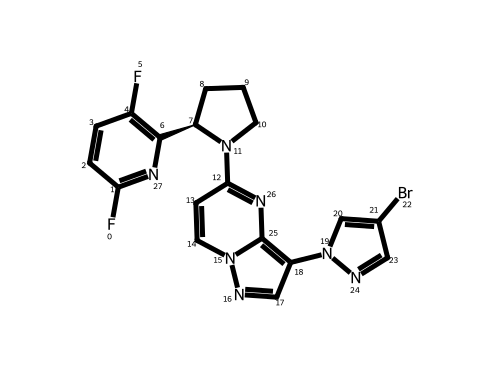 Fc1ccc(F)c([C@H]2CCCN2c2ccn3ncc(-n4cc(Br)cn4)c3n2)n1